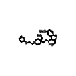 COc1ccc2ncc(CF)c([C@@H](F)CCC3(CO)CCN(CCSc4cccs4)CC3)c2c1